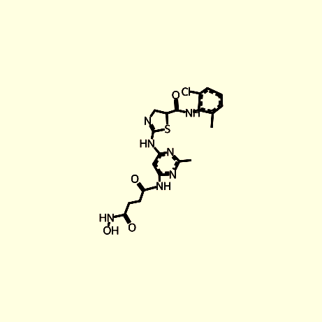 Cc1nc(NC(=O)CCC(=O)NO)cc(NC2=NCC(C(=O)Nc3c(C)cccc3Cl)S2)n1